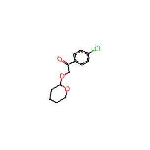 O=C(COC1CCCCO1)c1ccc(Cl)cc1